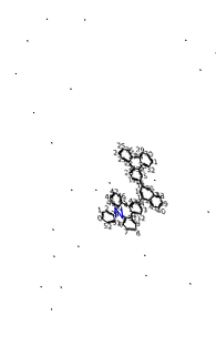 c1ccc(N2c3ccccc3-c3ccc(-c4cc(-c5ccc6c7ccccc7c7ccccc7c6c5)cc5ccccc45)cc3-c3ccccc32)cc1